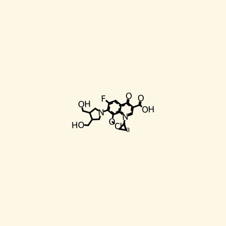 COc1c(N2CC(CO)C(CO)C2)c(F)cc2c(=O)c(C(=O)O)cn(C3CC3)c12